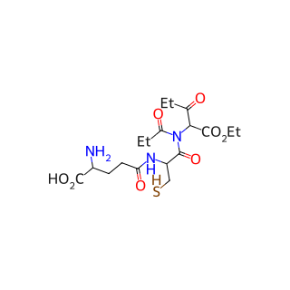 CCOC(=O)C(C(=O)CC)N(C(=O)CC)C(=O)C(CS)NC(=O)CCC(N)C(=O)O